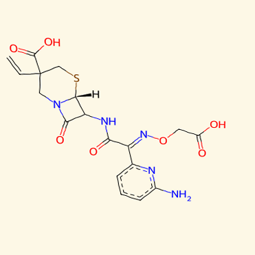 C=CC1(C(=O)O)CS[C@@H]2C(NC(=O)C(=NOCC(=O)O)c3cccc(N)n3)C(=O)N2C1